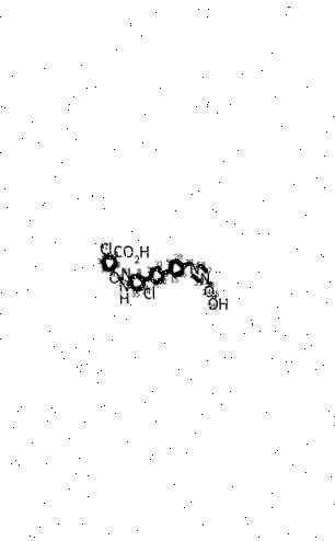 O=C(O)c1cc(Oc2nc3cc(-c4ccc(-c5ccc(CN6CCN(COCO)CC6)cc5)cc4)c(Cl)cc3[nH]2)ccc1Cl